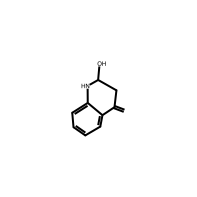 C=C1CC(O)Nc2ccccc21